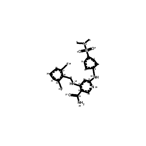 CN(C)S(=O)(=O)c1ccc(Nc2cc(NCc3c(F)cccc3F)c(C(N)=O)cn2)cc1